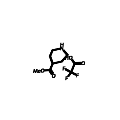 COC(=O)C1CCNCC1.O=C(O)C(F)(F)F